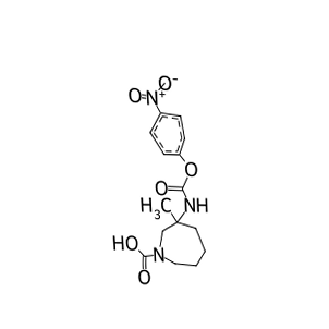 CC1(NC(=O)Oc2ccc([N+](=O)[O-])cc2)CCCCN(C(=O)O)C1